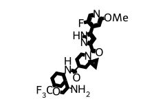 COc1cc(-c2cc(C(=O)N3CC[C@H](C(=O)N[C@@H]4CC[C@]5(C(F)(F)F)CC4[C@H](N)CO5)CC34CC4)n[nH]2)c(F)cn1